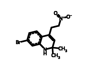 CC1(C)C=C(CC[N+](=O)[O-])c2ccc(Br)cc2N1